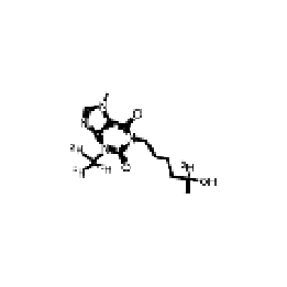 [2H]C([2H])([2H])n1c(=O)n(CCCC[C@]([2H])(C)O)c(=O)c2c1ncn2C